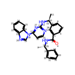 C[C@H](NC(=O)c1cccc([C@H](C)Nc2nccc(-n3cnc4ccccc43)n2)c1)c1ccccc1